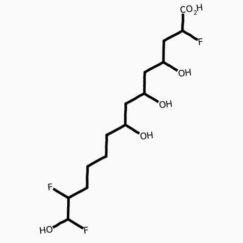 O=C(O)C(F)CC(O)CC(O)CC(O)CCCCC(F)C(O)F